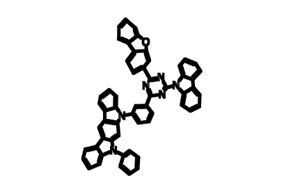 c1ccc(-n2c3ccccc3c3cc4c5ccccc5n(-c5cccc(-c6nc(-c7ccc8c(c7)oc7ccccc78)nc(-n7c8ccccc8c8ccccc87)n6)c5)c4cc32)cc1